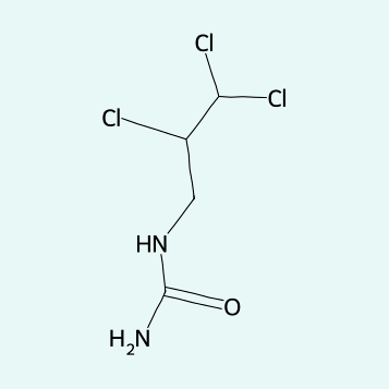 NC(=O)NCC(Cl)C(Cl)Cl